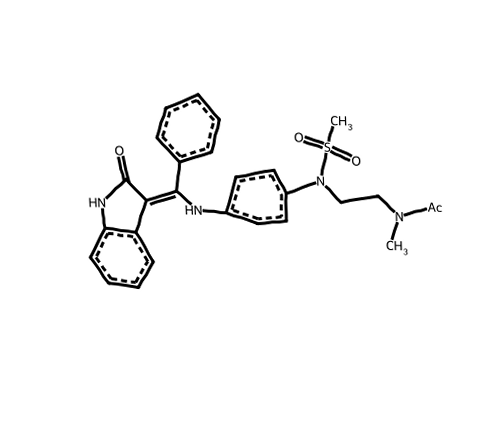 CC(=O)N(C)CCN(c1ccc(NC(=C2C(=O)Nc3ccccc32)c2ccccc2)cc1)S(C)(=O)=O